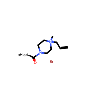 C=CC[N+]1(C)CCN(C(=O)CCCCCCC)CC1.[Br-]